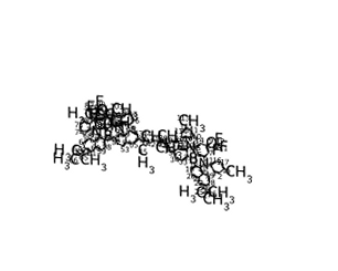 Cc1ccc(N2c3cc(OC(F)(F)F)cc4c3B(c3ccc5cc(C(C)(C)C)ccc5c32)c2ccc3cc(C(C)(C)CCC(C)(C)c5ccc6c7c(ccc6c5)B5c6ccc8cc(C(C)(C)C)ccc8c6N(c6ccccc6C(C)(C)C)c6cc(OC(F)(F)F)cc(c65)N7c5ccccc5C(C)(C)C)ccc3c2N4c2ccc(C)cc2)cc1